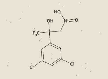 O=[N+](O)CC(O)(c1cc(Cl)cc(Cl)c1)C(F)(F)F